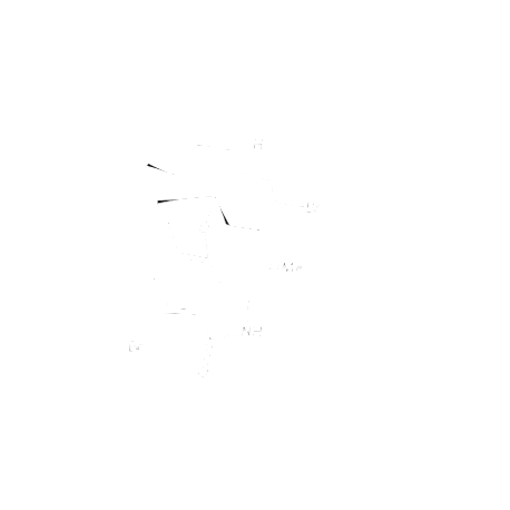 COC1C[C@@]23Oc4c(cc(Br)c5c4CNC5=O)C[C@]2(C)[C@@H](C)CC[C@H]3C(C)(C)C1Br